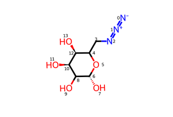 [N-]=[N+]=NCC1O[C@H](O)C(O)[C@@H](O)[C@H]1O